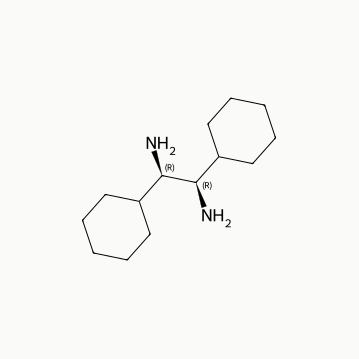 N[C@H](C1CCCCC1)[C@H](N)C1CCCCC1